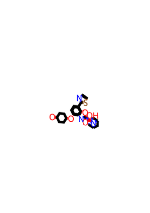 O=C1CCC(Oc2ccc(-c3nccs3)c3oc(N4CC5CC(C4)N5C(=O)O)nc23)CC1